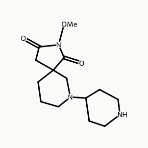 CON1C(=O)CC2(CCCN(C3CCNCC3)C2)C1=O